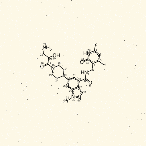 Cc1cc(C)c(CNC(=O)c2cc(C3CCN(C(=O)C(O)CN)CC3)nc3c2cnn3C(C)C)c(=O)[nH]1